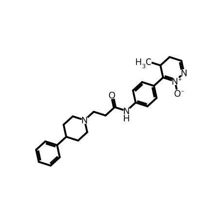 CC1CC=N[N+]([O-])=C1c1ccc(NC(=O)CCN2CCC(c3ccccc3)CC2)cc1